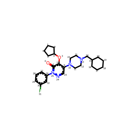 O=c1c(OC2CCCC2)c(N2CCN(CC3CCCCC3)CC2)cnn1-c1cccc(F)c1